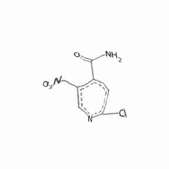 NC(=O)c1cc(Cl)ncc1[N+](=O)[O-]